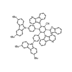 CC(C)(C)c1ccc2c(c1)c1cc(C(C)(C)C)ccc1n2-c1ccc(-c2c(-c3ccc(-n4c5ccc(C(C)(C)C)cc5c5cc(C(C)(C)C)ccc54)cc3)c(-n3c4ccccc4c4ncccc43)c(-c3nc4ccccc4o3)c(C#N)c2-n2c3ccccc3c3ncccc32)cc1